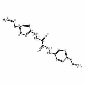 C=CCc1ccc(NNC(=O)C(=O)NNc2ccc(CC=C)cc2)cc1